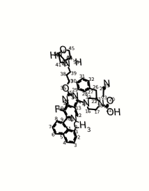 Cc1cccc2cccc(-c3ncc4c(N5CCN(C(=O)O)[C@](CC#N)(Cc6ccccc6)C5)nc(OCCCN5C[C@@H]6C[C@H]5CO6)nc4c3F)c12